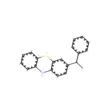 CC(c1ccccc1)c1ccc2c(c1)Sc1ccccc1N2